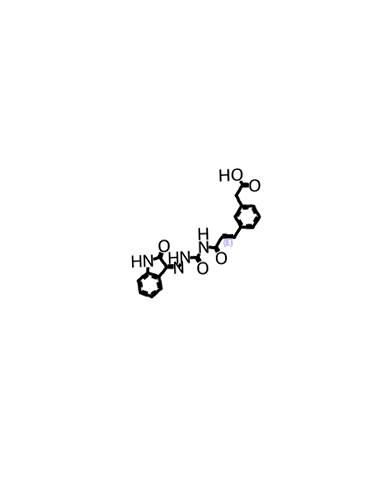 O=C(O)Cc1cccc(/C=C/C(=O)NC(=O)NN=C2C(=O)Nc3ccccc32)c1